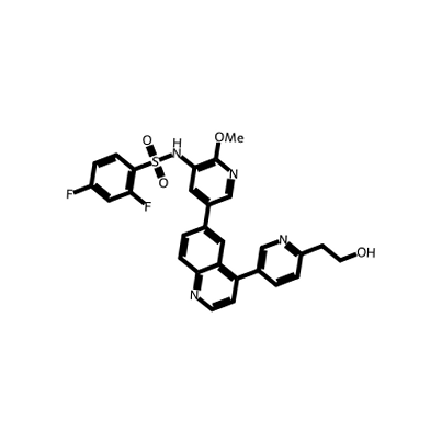 COc1ncc(-c2ccc3nccc(-c4ccc(CCO)nc4)c3c2)cc1NS(=O)(=O)c1ccc(F)cc1F